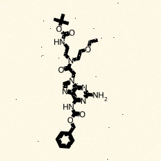 CCOCCN(CCNC(=O)OC(C)(C)C)C(=O)Cn1cnc2c(NC(=O)OCc3ccccc3)nc(N)nc21